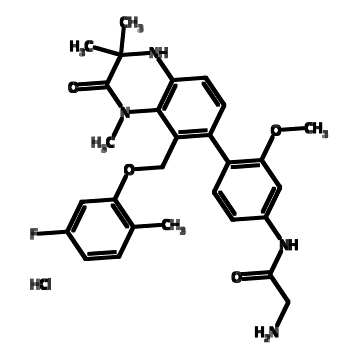 COc1cc(NC(=O)CN)ccc1-c1ccc2c(c1COc1cc(F)ccc1C)N(C)C(=O)C(C)(C)N2.Cl